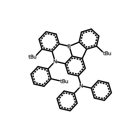 CC(C)(C)c1ccccc1N1c2cc(N(c3ccccc3)c3ccccc3)cc3c2B(c2cccc(C(C)(C)C)c2-3)c2cccc(C(C)(C)C)c21